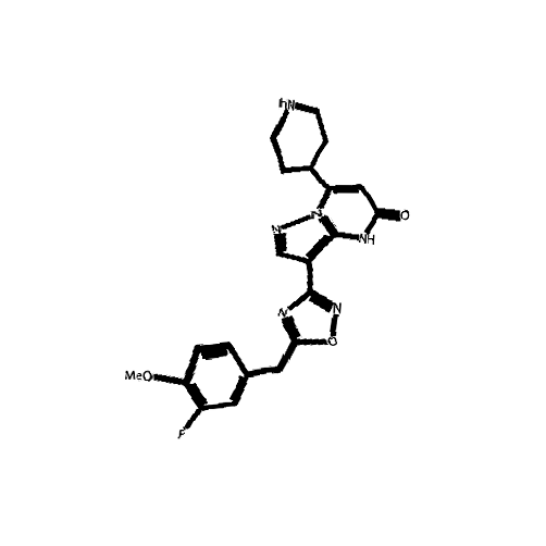 COc1ccc(Cc2nc(-c3cnn4c(C5CCNCC5)cc(=O)[nH]c34)no2)cc1F